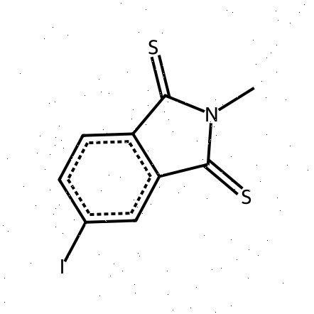 CN1C(=S)c2ccc(I)cc2C1=S